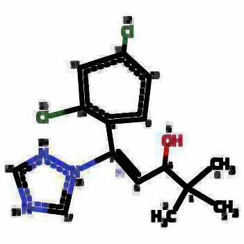 CC(C)(C)C(O)/C=C(\c1ccc(Cl)cc1Cl)n1cncn1